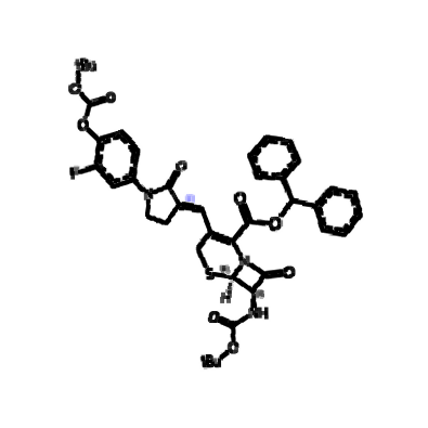 CC(C)(C)OC(=O)N[C@@H]1C(=O)N2C(C(=O)OC(c3ccccc3)c3ccccc3)=C(/C=C3\CCN(c4ccc(OC(=O)OC(C)(C)C)c(F)c4)C3=O)CS[C@H]12